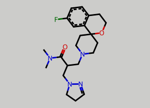 CN(C)C(=O)C(CN1CCC2(CC1)OCCc1ccc(F)cc12)CN1CCC=N1